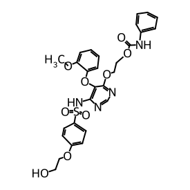 COc1ccccc1Oc1c(NS(=O)(=O)c2ccc(OCCO)cc2)ncnc1OCCOC(=O)Nc1ccccc1